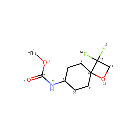 CC(C)(C)OC(=O)NC1CCC2(CC1)OCC2(F)F